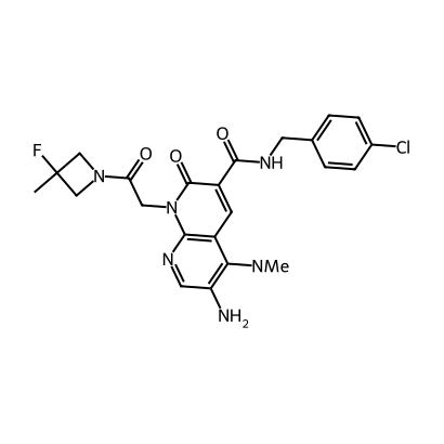 CNc1c(N)cnc2c1cc(C(=O)NCc1ccc(Cl)cc1)c(=O)n2CC(=O)N1CC(C)(F)C1